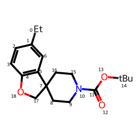 CCc1ccc2c(c1)C1(CCN(C(=O)OC(C)(C)C)CC1)CO2